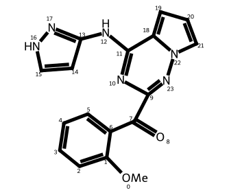 COc1ccccc1C(=O)c1nc(Nc2cc[nH]n2)c2cccn2n1